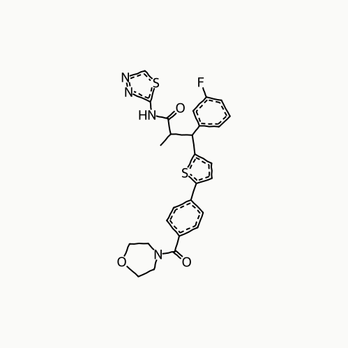 CC(C(=O)Nc1nncs1)C(c1cccc(F)c1)c1ccc(-c2ccc(C(=O)N3CCOCC3)cc2)s1